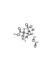 COC(=O)[C@]1(N)CS(=O)(=O)[C@H]2[C@H](COC=O)[C@H]21